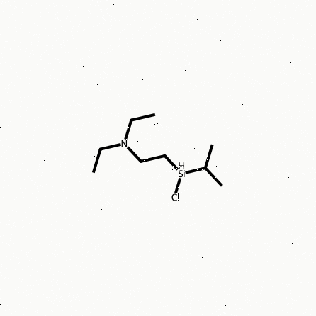 CCN(CC)CC[SiH](Cl)C(C)C